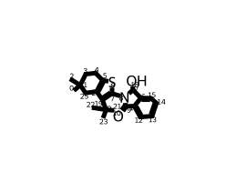 CC1(C)CCc2sc(N3C(=O)c4ccccc4C3O)c(C(C)(C)C)c2C1